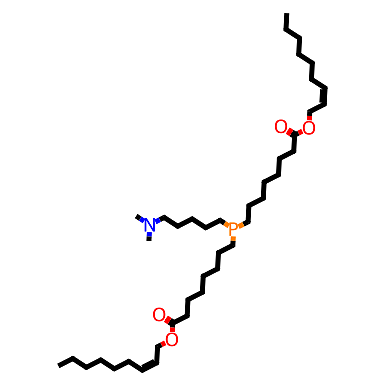 CCCCCC/C=C\COC(=O)CCCCCCCP(CCCCCCCC(=O)OC/C=C\CCCCCC)CCCCCN(C)C